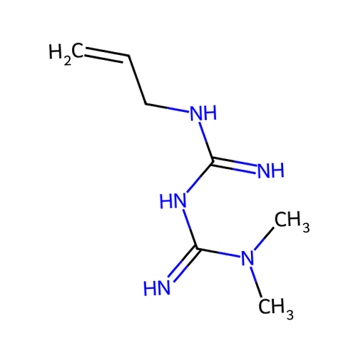 C=CCNC(=N)NC(=N)N(C)C